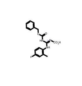 Cc1cc(F)ccc1N/C(=N\C(=O)O)NC(=O)OCc1ccccc1